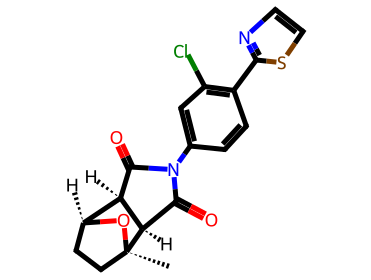 C[C@]12CC[C@H](O1)[C@H]1C(=O)N(c3ccc(-c4nccs4)c(Cl)c3)C(=O)[C@H]12